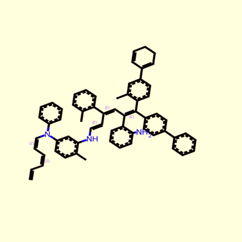 C=C/C=C\C=C/N(c1ccccc1)c1ccc(C)c(N/C=C/C(=C\C(=C(\c2ccc(-c3ccccc3)cc2)c2ccc(C3=CCCC=C3)cc2C)c2ccccc2N)c2ccccc2C)c1